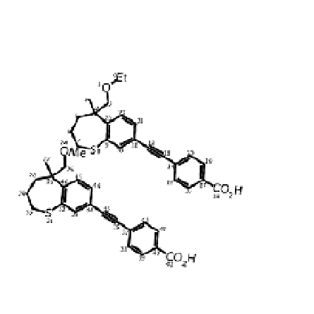 CCOCC1(C)CCCSc2cc(C#Cc3ccc(C(=O)O)cc3)ccc21.COCC1(C)CCCSc2cc(C#Cc3ccc(C(=O)O)cc3)ccc21